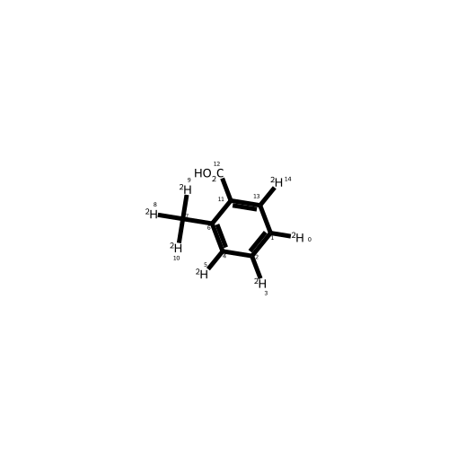 [2H]c1c([2H])c([2H])c(C([2H])([2H])[2H])c(C(=O)O)c1[2H]